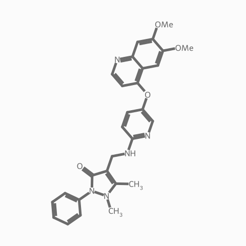 COc1cc2nccc(Oc3ccc(NCc4c(C)n(C)n(-c5ccccc5)c4=O)nc3)c2cc1OC